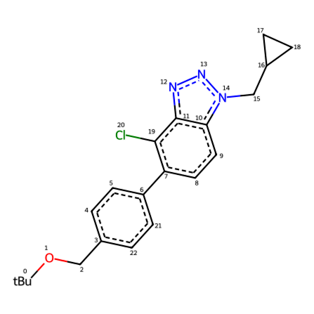 CC(C)(C)OCc1ccc(-c2ccc3c(nnn3CC3CC3)c2Cl)cc1